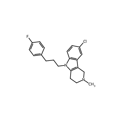 CN1CCc2c(c3cc(Cl)ccc3n2CCCc2ccc(F)cc2)C1